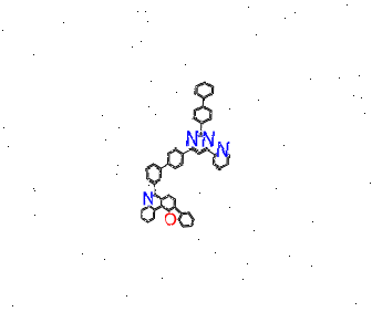 c1ccc(-c2ccc(-c3nc(-c4ccc(-c5cccc(-c6nc7ccccc7c7c6ccc6c8ccccc8oc67)c5)cc4)cc(-c4ccccn4)n3)cc2)cc1